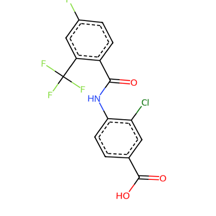 O=C(O)c1ccc(NC(=O)c2ccc(F)cc2C(F)(F)F)c(Cl)c1